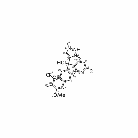 COc1nc2ccc(C(O)(C3=CN(C)NN3C)c3ccc(C)nc3C)cc2c(Cl)c1C